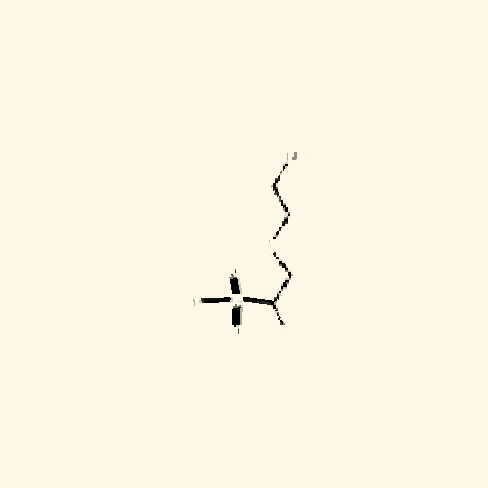 NCCOCC(O)S(N)(=O)=O